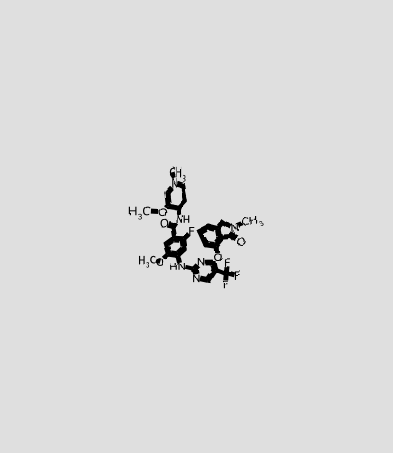 COc1cc(C(=O)NC2CCN(C)CC2OC)c(F)cc1Nc1ncc(C(F)(F)F)c(Oc2cccc3c2C(=O)N(C)C3)n1